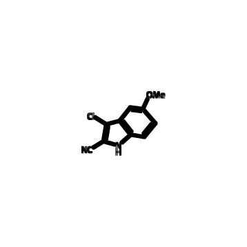 COc1ccc2[nH]c(C#N)c(Cl)c2c1